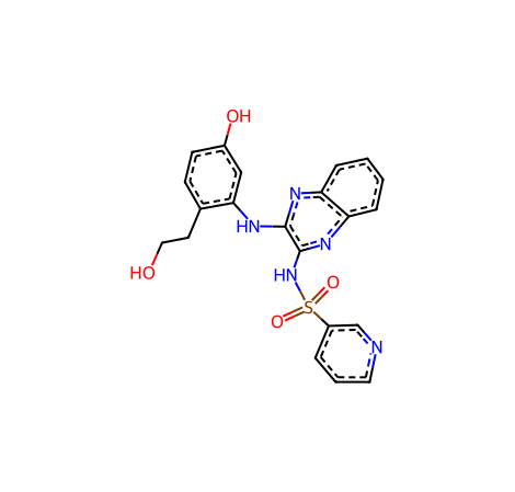 O=S(=O)(Nc1nc2ccccc2nc1Nc1cc(O)ccc1CCO)c1cccnc1